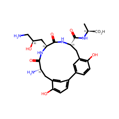 C[C@H](NC(=O)[C@@H]1Cc2cc(ccc2O)-c2ccc(O)c(c2)C[C@H](N)C(=O)N[C@@H](C[C@@H](O)CN)C(=O)N1)C(=O)O